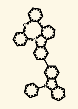 c1ccc(-n2c3ccccc3c3ccc(-c4ccc5c(c4)c4cccc6c7ccccc7oc7ccccc7n5c64)cc32)cc1